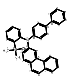 C[Si](C)(C)c1ccccc1N(c1ccc(-c2ccccc2)cc1)c1ccc2ccc3ccccc3c2c1